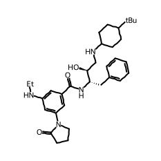 CCNc1cc(C(=O)N[C@@H](Cc2ccccc2)[C@@H](O)CNC2CCC(C(C)(C)C)CC2)cc(N2CCCC2=O)c1